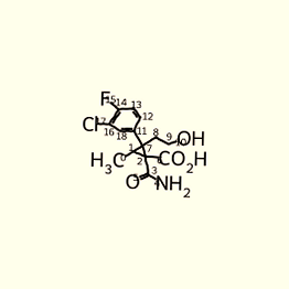 CC1C(C(N)=O)(C(=O)O)C1(CCO)c1ccc(F)c(Cl)c1